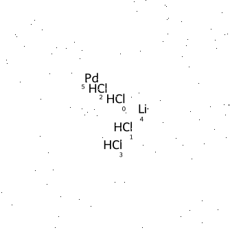 Cl.Cl.Cl.Cl.[Li].[Pd]